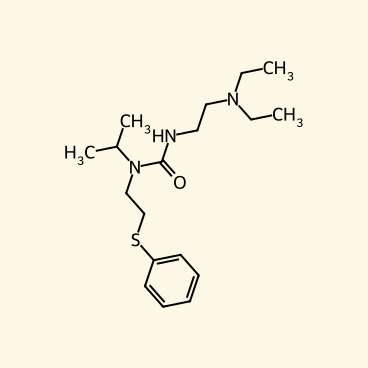 CCN(CC)CCNC(=O)N(CCSc1ccccc1)C(C)C